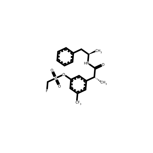 C[C@H](Cc1ccccc1)NC(=O)[C@H](C)c1cc(OS(=O)(=O)CF)cc(C(F)(F)F)c1